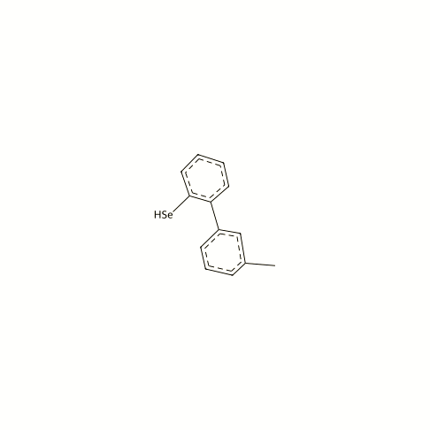 Cc1cccc(-c2ccccc2[SeH])c1